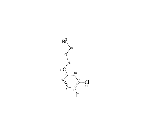 Fc1ccc(OCCCBr)cc1Cl